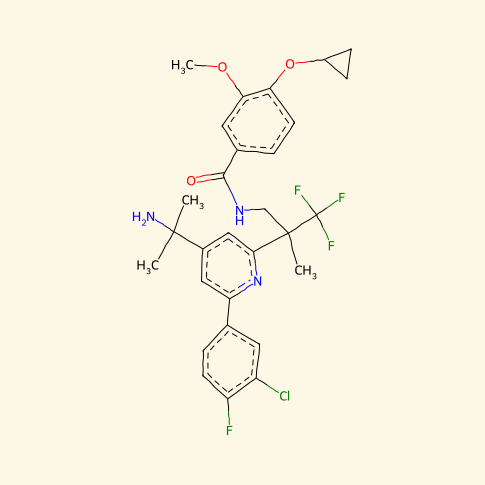 COc1cc(C(=O)NCC(C)(c2cc(C(C)(C)N)cc(-c3ccc(F)c(Cl)c3)n2)C(F)(F)F)ccc1OC1CC1